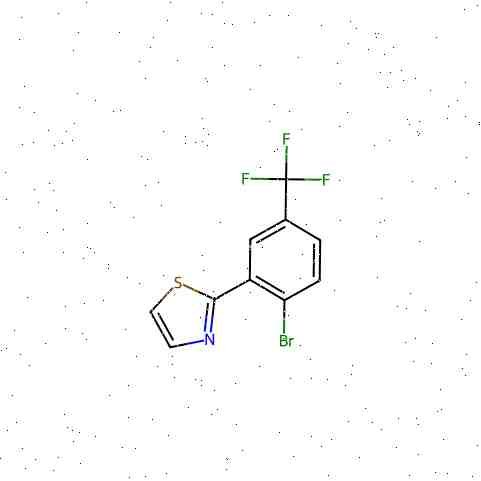 FC(F)(F)c1ccc(Br)c(-c2nccs2)c1